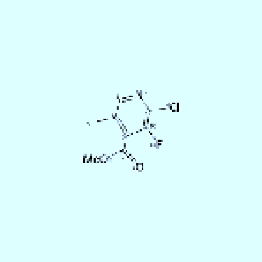 COC(=O)c1c(F)cnc(Cl)c1F